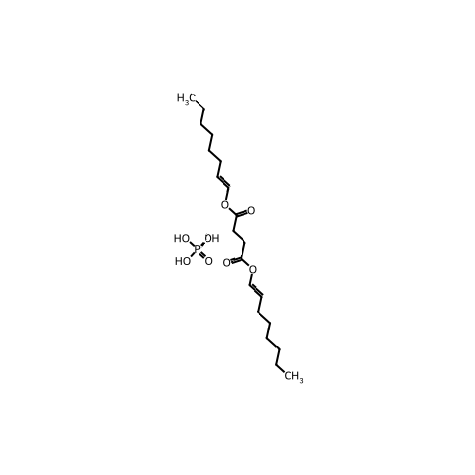 CCCCCCC=COC(=O)CCC(=O)OC=CCCCCCC.O=P(O)(O)O